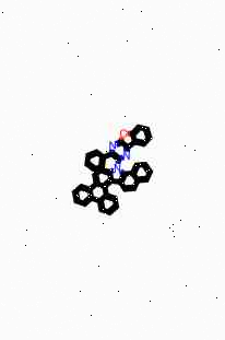 c1ccc(-c2nc3oc4ccccc4c3nc2-n2c3ccc4c5ccccc5c5ccccc5c4c3c3ccc4ccccc4c32)cc1